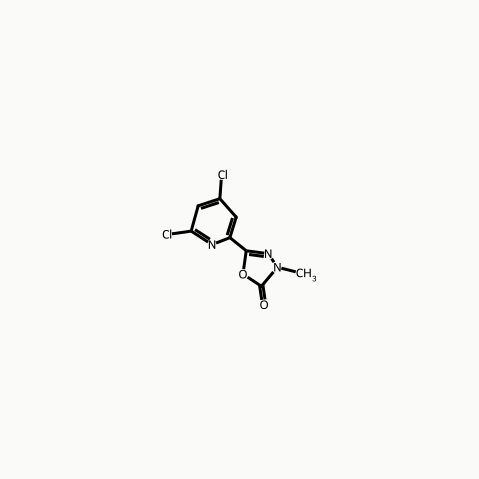 Cn1nc(-c2cc(Cl)cc(Cl)n2)oc1=O